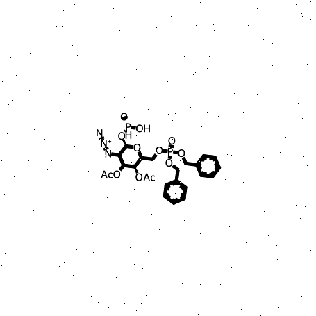 CC(=O)OC1C(N=[N+]=[N-])[C@@H](O[PH](=O)O)OC(COP(=O)(OCc2ccccc2)OCc2ccccc2)[C@H]1OC(C)=O